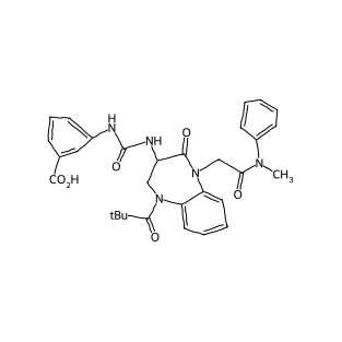 CN(C(=O)CN1C(=O)C(NC(=O)Nc2cccc(C(=O)O)c2)CN(C(=O)C(C)(C)C)c2ccccc21)c1ccccc1